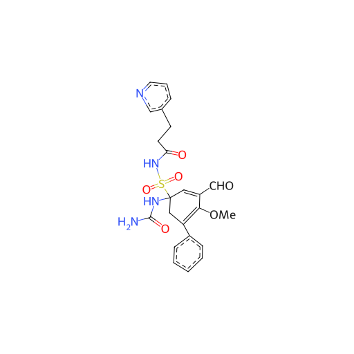 COC1=C(c2ccccc2)CC(NC(N)=O)(S(=O)(=O)NC(=O)CCc2cccnc2)C=C1C=O